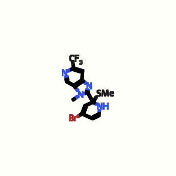 CSC1(c2nc3cc(C(F)(F)F)ncc3n2C)C=C(Br)C=CN1